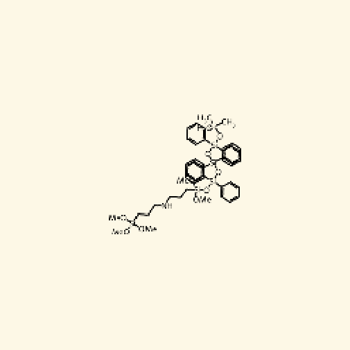 CO[Si](CCCNCCC[Si](OC)(OC)O[Si](O[Si](O[Si](O[Si](C)(C)C)(c1ccccc1)c1ccccc1)(c1ccccc1)c1ccccc1)(c1ccccc1)c1ccccc1)(OC)OC